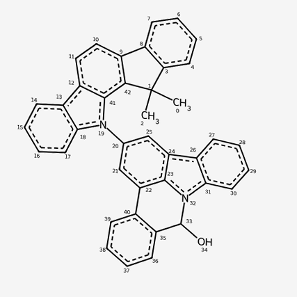 CC1(C)c2ccccc2-c2ccc3c4ccccc4n(-c4cc5c6c(c4)c4ccccc4n6C(O)c4ccccc4-5)c3c21